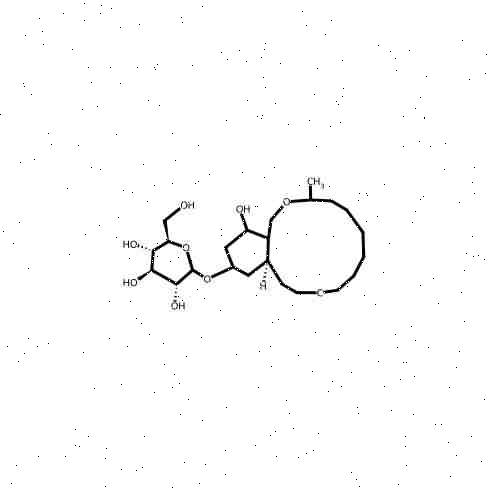 CC1CCCCCCCCC[C@H]2CC(OC3O[C@H](CO)[C@@H](O)[C@H](O)[C@H]3O)CC(O)C2CO1